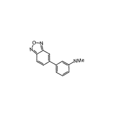 CNc1cccc(-c2ccc3nonc3c2)c1